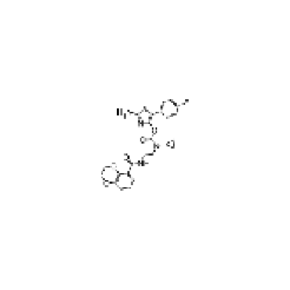 Nc1nc(OC(=O)N(CCNC(=O)c2cccc3c2OCCO3)C2CC2)c(-c2ccc(F)cc2)s1